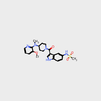 CCOc1cccnc1N(C)C1CCN(C(=O)c2c[nH]c3ccc(NS(C)(=O)=O)cc23)CC1